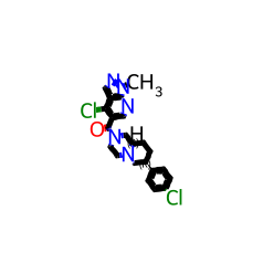 Cn1ncc2c(Cl)c(C(=O)N3CCN4C[C@@H](c5ccc(Cl)cc5)CC[C@@H]4C3)cnc21